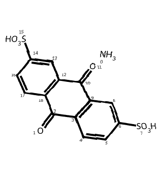 N.O=C1c2ccc(S(=O)(=O)O)cc2C(=O)c2cc(S(=O)(=O)O)ccc21